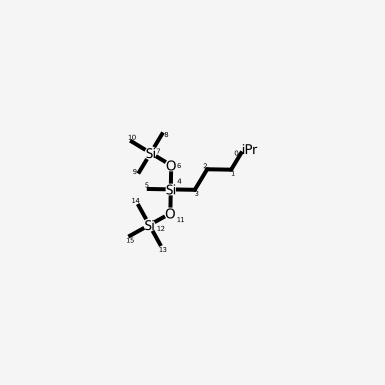 CC(C)CCC[Si](C)(O[Si](C)(C)C)O[Si](C)(C)C